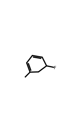 CC1=CC=CC(F)C1